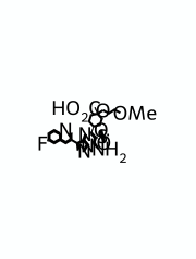 COCCO[C@]1(C(=O)O)CC[C@@H](c2nc3c(-c4cnc5ccc(F)cc5c4)cnn3c(N)c2S(C)(=O)=O)CC1